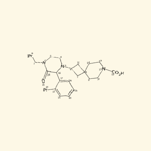 CC(C)CN1CCN(C2CC3(CCN(C(=O)O)CC3)C2)C(c2ccccc2C(C)C)C1=O